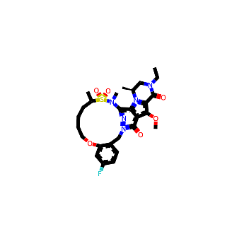 CCN1C[C@H](C)n2c(c(OC)c3c(=O)n4nc(c32)N(C)S(=O)(=O)C(C)CCCCOc2cc(F)ccc2C4)C1=O